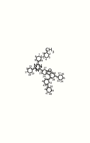 Cc1cccc(-c2cccc(-c3nc(-c4ccccc4)nc(-c4ccc5c(c4)oc4cc(-c6ccccc6)cc(-c6cccc(-c7ccccc7)c6)c45)n3)c2)c1